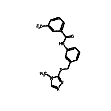 Cn1cnnc1SCc1cccc(NC(=O)c2cccc(C(F)(F)F)c2)c1